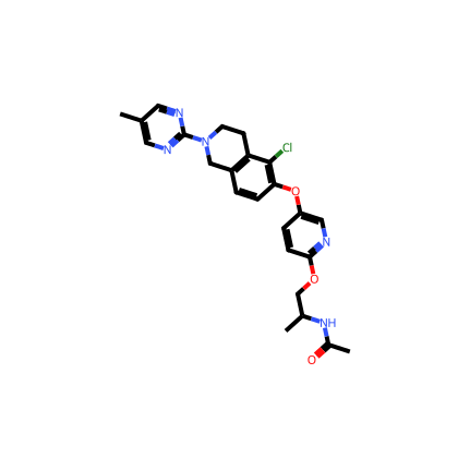 CC(=O)NC(C)COc1ccc(Oc2ccc3c(c2Cl)CCN(c2ncc(C)cn2)C3)cn1